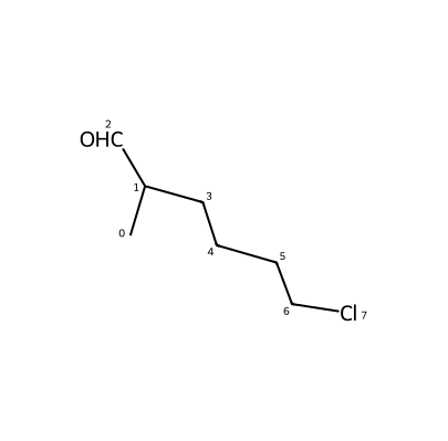 CC(C=O)CCCCCl